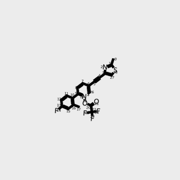 Cc1nc(C#Cc2ccc(-c3ccc(F)cc3C)[n+](OC(=O)C(F)(F)F)c2)cs1